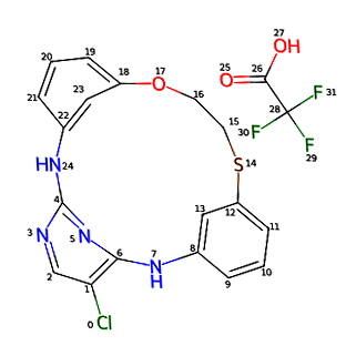 Clc1cnc2nc1Nc1cccc(c1)SCCOc1cccc(c1)N2.O=C(O)C(F)(F)F